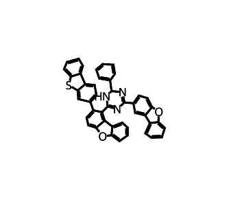 c1ccc(C2N=C(c3ccc4oc5ccccc5c4c3)N=C(c3c(-c4ccc5c(c4)sc4ccccc45)ccc4oc5ccccc5c34)N2)cc1